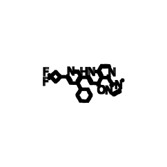 Cn1ccnc1-c1nccc2[nH]c(-c3cnc(C4CC(F)(F)C4)cc3C3CCCCC3)cc(=O)c12